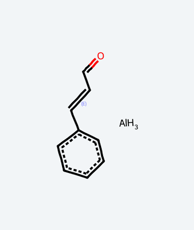 O=C/C=C/c1ccccc1.[AlH3]